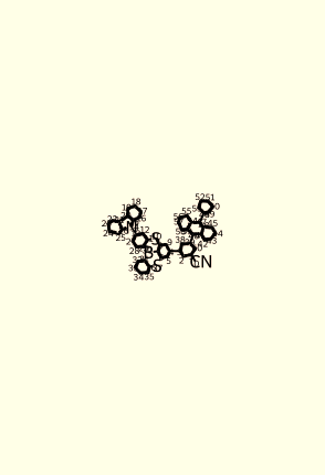 N#Cc1cc(-c2cc3c4c(c2)Sc2cc(-n5c6ccccc6c6ccccc65)ccc2B4c2ccccc2S3)cc(-c2c3ccccc3c(-c3ccccc3)c3ccccc23)c1